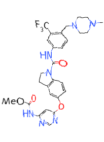 COC(=O)Nc1cc(Oc2ccc3c(c2)CCN3C(=O)Nc2ccc(CN3CCN(C)CC3)c(C(F)(F)F)c2)ncn1